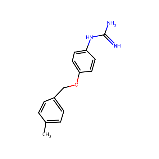 Cc1ccc(COc2ccc(NC(=N)N)cc2)cc1